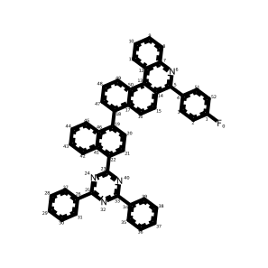 Fc1ccc(-c2nc3ccccc3c3c2ccc2c(-c4ccc(-c5nc(-c6ccccc6)nc(-c6ccccc6)n5)c5ccccc45)cccc23)cc1